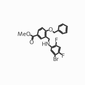 COC(=O)c1ccc(OCc2ccccc2)c(CNc2cc(Br)c(F)cc2F)c1